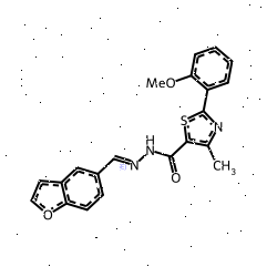 COc1ccccc1-c1nc(C)c(C(=O)N/N=C/c2ccc3occc3c2)s1